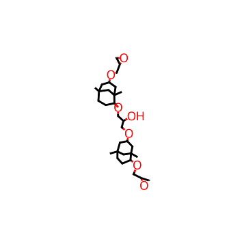 CC12CCC(OCC(O)COC3CC4(C)CCC(OCC5CO5)C(C)(C3)C4)C(C)(CC(OCC3CO3)C1)C2